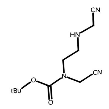 CC(C)(C)OC(=O)N(CC#N)CCNCC#N